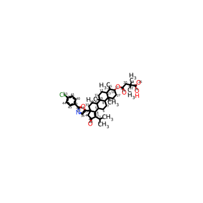 CC(C)C1=C2C3CCC4C(C)(CCC5C(C)C(OC(=O)CC(C)(C)C(=O)O)CCC54C)C3CCC2(c2cnc(-c3ccc(Cl)cc3)o2)CC1=O